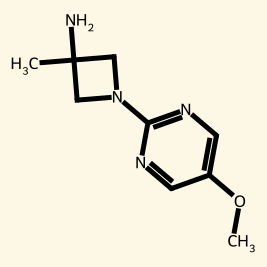 COc1cnc(N2CC(C)(N)C2)nc1